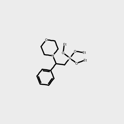 CCO[Si](CC(c1ccccc1)N1CCOCC1)(OCC)OCC